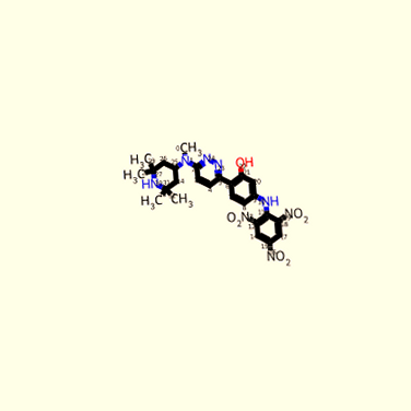 CN(c1ccc(-c2ccc(Nc3c([N+](=O)[O-])cc([N+](=O)[O-])cc3[N+](=O)[O-])cc2O)nn1)C1CC(C)(C)NC(C)(C)C1